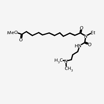 CCN(C(=O)CCCCCCCCCCC(=O)OC)C(=O)NCCCN(C)C